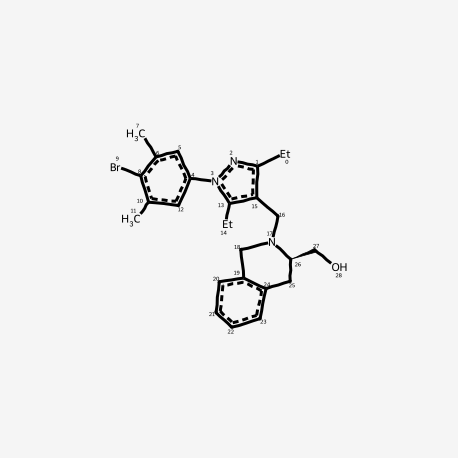 CCc1nn(-c2cc(C)c(Br)c(C)c2)c(CC)c1CN1Cc2ccccc2C[C@@H]1CO